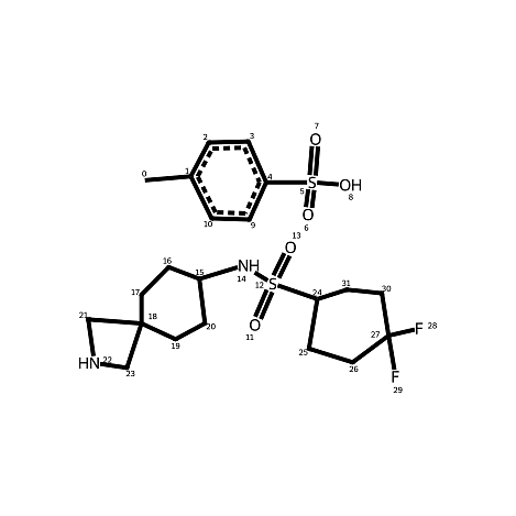 Cc1ccc(S(=O)(=O)O)cc1.O=S(=O)(NC1CCC2(CC1)CNC2)C1CCC(F)(F)CC1